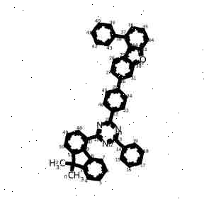 CC1(C)c2ccccc2-c2c(-c3nc(-c4ccccc4)nc(-c4ccc(-c5ccc6c(c5)oc5cccc(-c7ccccc7)c56)cc4)n3)cccc21